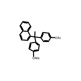 COc1ccc(C(C)(c2ccc(OC(C)=O)cc2)c2cccc3ccccc23)cc1